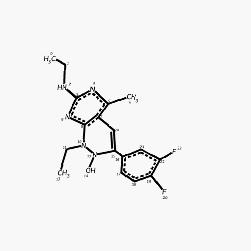 CCNc1nc(C)c2c(n1)N(CC)N(O)C(c1ccc(F)c(F)c1)=C2